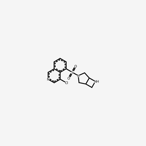 O=S(=O)(c1cccc2cncc(Cl)c12)N1CC2CNC2C1